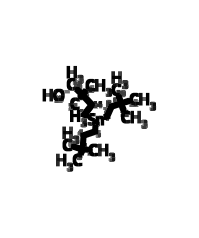 CC(C)(C)C[CH2][Sn+]([CH2]CC(C)(C)C)[CH2]CC(C)(C)C.[OH-]